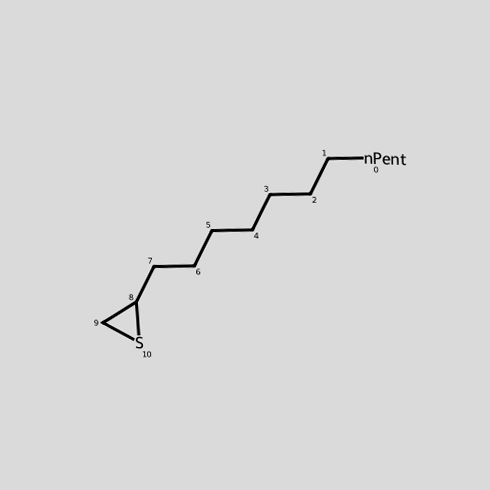 CCCCCCCCCCCCC1CS1